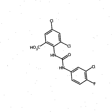 O=C(Nc1ccc(F)c(Cl)c1)Nc1c(Cl)cc(Cl)cc1C(=O)O